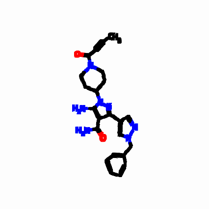 CC#CC(=O)N1CCC(n2nc(-c3cnn(Cc4ccccc4)c3)c(C(N)=O)c2N)CC1